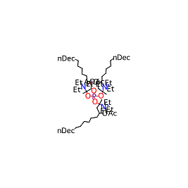 CCCCCCCCCCCCCCCCC(CC(C)(OP(=O)(OC(C)(CC(CCCCCCCCCCCCCCCC)OC(C)=O)[N+](CC)(CC)CC)OC(C)(CC(CCCCCCCCCCCCCCCC)OC(C)=O)[N+](CC)(CC)CC)[N+](CC)(CC)CC)OC(C)=O